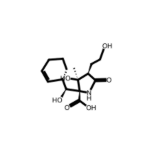 C[C@]1(O)[C@@H](CCO)C(=O)N[C@]1(C(=O)O)[C@@H](O)[C@@H]1C=CCCC1